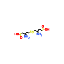 N[C@@H](CCS(=O)O)CSSCC[C@H](N)CS(=O)O